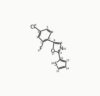 Fc1cc(Cl)ccc1-c1cnc(-c2cccs2)o1